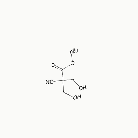 CCCCOC(=O)C(C#N)(CO)CO